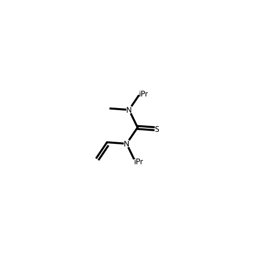 C=CN(C(=S)N(C)C(C)C)C(C)C